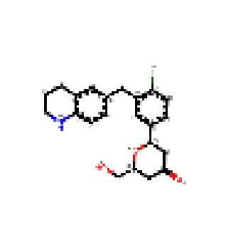 O=C1C[C@@H](CO)O[C@@H](c2ccc(Cl)c(Cc3ccc4c(c3)CCCN4)c2)C1